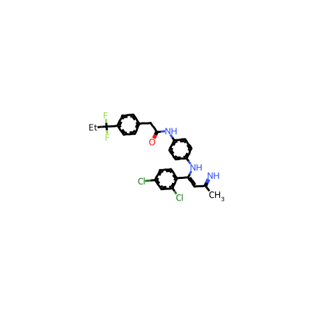 CCC(F)(F)c1ccc(CC(=O)Nc2ccc(N/C(=C\C(C)=N)c3ccc(Cl)cc3Cl)cc2)cc1